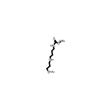 CC(=O)NCCCNCCCCNC(=O)OC(C)(C)C